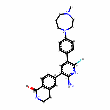 CN1CCCN(c2ccc(-c3cc(-c4ccc5c(c4)CCNC5=O)c(N)nc3F)cc2)CC1